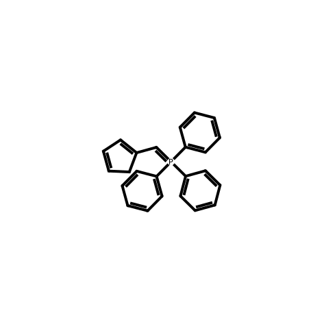 C1=CCC(C=P(c2ccccc2)(c2ccccc2)c2ccccc2)=C1